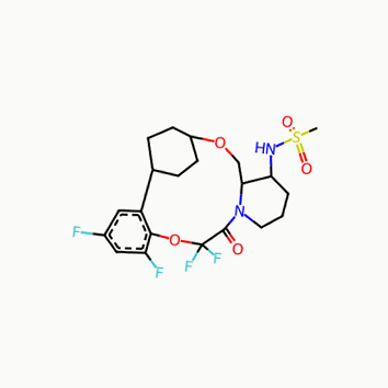 CS(=O)(=O)NC1CCCN2C(=O)C(F)(F)Oc3c(F)cc(F)cc3C3CCC(CC3)OCC12